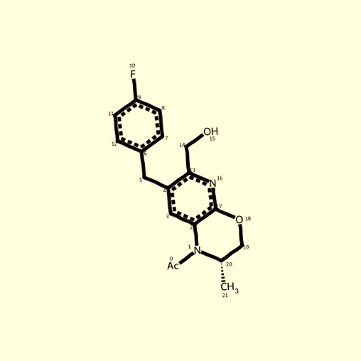 CC(=O)N1c2cc(Cc3ccc(F)cc3)c(CO)nc2OC[C@@H]1C